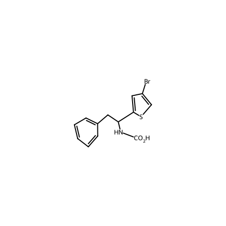 O=C(O)NC(Cc1ccccc1)c1cc(Br)cs1